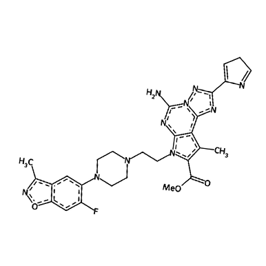 COC(=O)c1c(C)c2c(nc(N)n3nc(C4=CCC=N4)nc23)n1CCN1CCN(c2cc3c(C)noc3cc2F)CC1